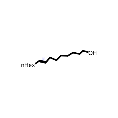 CCCCCC/C=C/CCCCCCCO